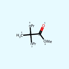 CCCC(C)(CCC)C(=O)OC